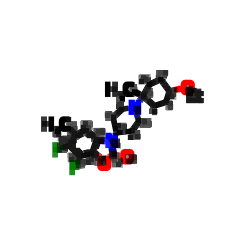 CCO[C@H]1CC[C@](C)(N2CCC(n3c(=O)oc4c(F)c(F)c(C)cc43)CC2)CC1